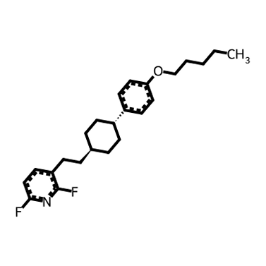 CCCCCOc1ccc([C@H]2CC[C@H](CCc3ccc(F)nc3F)CC2)cc1